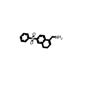 NCC1=CCCc2cc(S(=O)(=O)c3ccccc3)ccc21